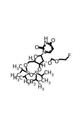 CC(C)[Si]1(C(C)C)OC[C@H]2O[C@@H](n3ccc(=O)[nH]c3=O)[C@H](OCOCCF)[C@@H]2O[Si](C(C)C)(C(C)C)O1